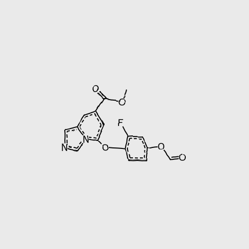 COC(=O)c1cc(Oc2ccc(OC=O)cc2F)n2cncc2c1